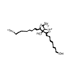 CCCCCCCCCCCCCCCCCC(=O)C(O)(C(=O)CCCCCCCCCCCCCCCCC)C(O)C(N)=O